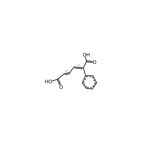 O=C(O)/C=C/C=C(/C(=O)O)c1ccccc1